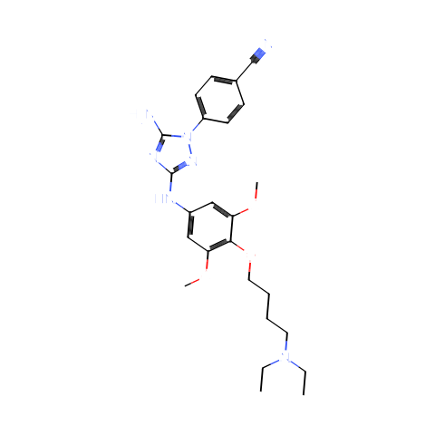 CCN(CC)CCCCOc1c(OC)cc(Nc2nc(N)n(-c3ccc(C#N)cc3)n2)cc1OC